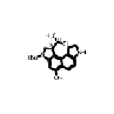 C[C@@H](Cl)[C@@H]1CN(C(C)(C)C)c2cc(O)c3ccc4c(c3c21)CCN4